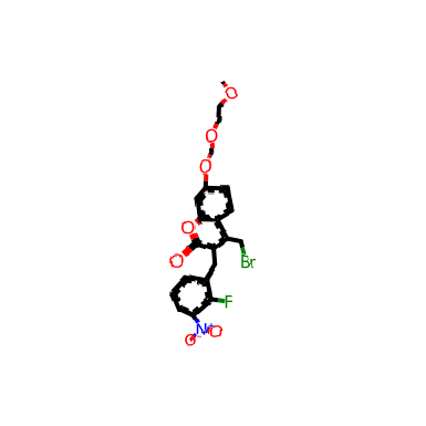 COCCOCOc1ccc2c(CBr)c(Cc3cccc([N+](=O)[O-])c3F)c(=O)oc2c1